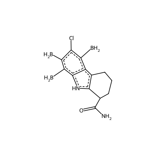 Bc1c(Cl)c(B)c2c3c([nH]c2c1B)C(C(N)=O)CCC3